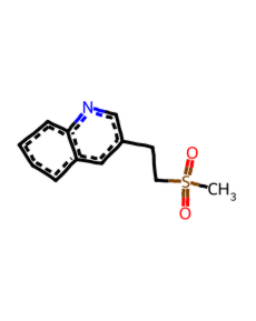 CS(=O)(=O)CCc1cnc2ccccc2c1